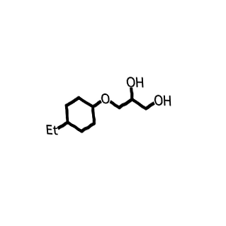 CCC1CCC(OCC(O)CO)CC1